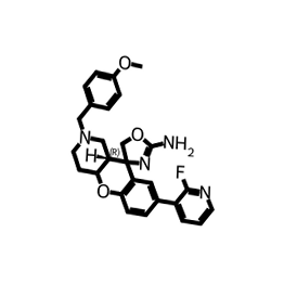 COc1ccc(CN2CCC3Oc4ccc(-c5cccnc5F)cc4C4(COC(N)=N4)[C@H]3C2)cc1